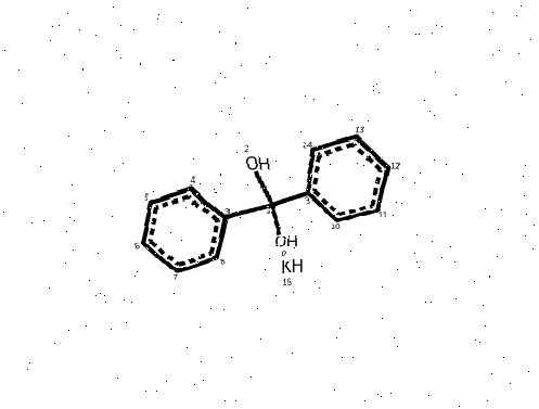 OC(O)(c1ccccc1)c1ccccc1.[KH]